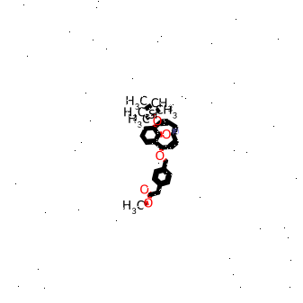 COC(=O)Cc1ccc(COC2C#C/C=C/C#CC3(O[Si](C)(C)C(C)(C)C)CCC=C2C3=O)cc1